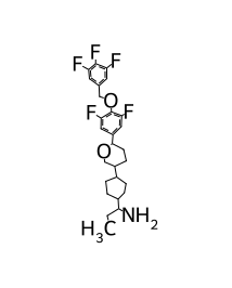 CCC(N)C1CCC(C2CCC(c3cc(F)c(OCc4cc(F)c(F)c(F)c4)c(F)c3)OC2)CC1